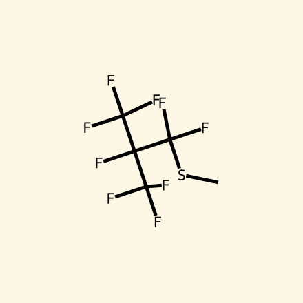 CSC(F)(F)C(F)(C(F)(F)F)C(F)(F)F